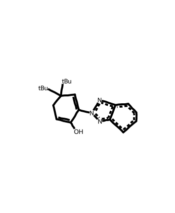 CC(C)(C)C1(C(C)(C)C)C=C(n2nc3ccccc3n2)C(O)=CC1